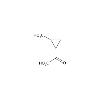 O=C(O)C(=O)C1CC1C(=O)O